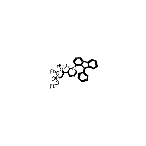 CCOP(=O)(CC(=O)[C@@H]1CCCN(c2cccc3c2C(c2ccccc2)c2ccccc2-3)[C@@H]1C(=O)O)OCC